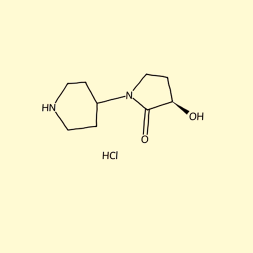 Cl.O=C1[C@H](O)CCN1C1CCNCC1